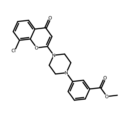 COC(=O)c1cccc(N2CCN(c3cc(=O)c4cccc(Cl)c4o3)CC2)c1